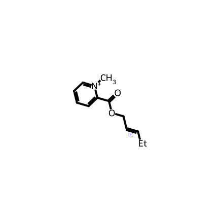 CC/C=C/COC(=O)c1cccc[n+]1C